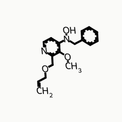 C=CCOCc1nccc(N(O)Cc2ccccc2)c1OC